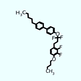 CCCCCc1ccc(-c2ccc(OC(F)(F)CCc3ccc(OCCCC)c(F)c3F)cc2)cc1